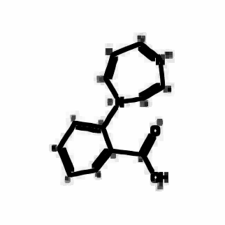 O=C(O)c1ccccc1N1C=CC=NC=C1